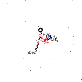 CCCCCCCCCCCCCCCCOCC(COP(O)OCC(C)[N+](C)(C)C)OCc1ccccc1